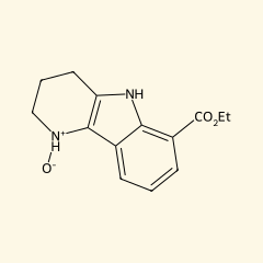 CCOC(=O)c1cccc2c3c([nH]c12)CCC[NH+]3[O-]